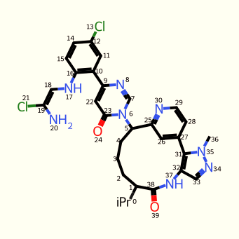 CC(C)C1CCCC(n2cnc(-c3cc(Cl)ccc3N/C=C(\N)Cl)cc2=O)c2cc(ccn2)-c2c(cnn2C)NC1=O